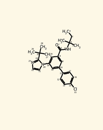 CCC(C)(C)NC(=O)c1cc(-c2ccc(Cl)cc2)cc(-n2ccnc2C(C)(C)C)c1